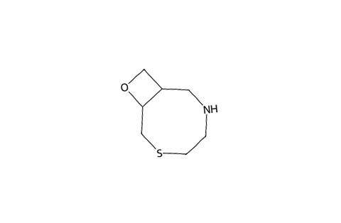 C1CSCC2OCC2CN1